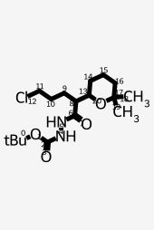 CC(C)(C)OC(=O)NNC(=O)C(CCCCl)C1CCCC(C)(C)O1